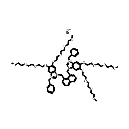 COCCOCCOCCOc1cc2c(cc1OCCOCCOCCOC)[n+](Cc1ccccc1)cn2Cc1cccc2cccc(Cn3c[n+](Cc4ccccc4)c4cc(OCCOCCOCCOC)c(OCCOCCOCCOC)cc43)c12.[Br-].[Br-]